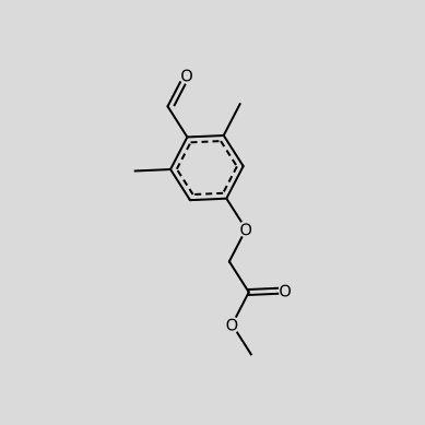 COC(=O)COc1cc(C)c(C=O)c(C)c1